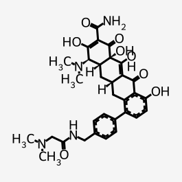 CN(C)CC(=O)NCc1ccc(-c2ccc(O)c3c2C[C@@H]2C[C@@H]4[C@@H](N(C)C)C(O)=C(C(N)=O)C(=O)[C@]4(O)C(O)=C2C3=O)cc1